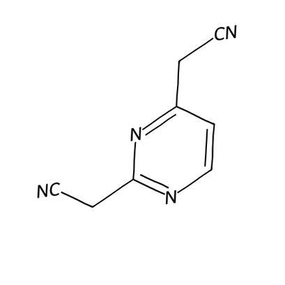 N#CCc1ccnc(CC#N)n1